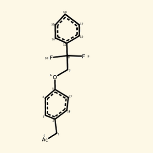 CC(=O)Cc1ccc(OCC(F)(F)c2ccccc2)cc1